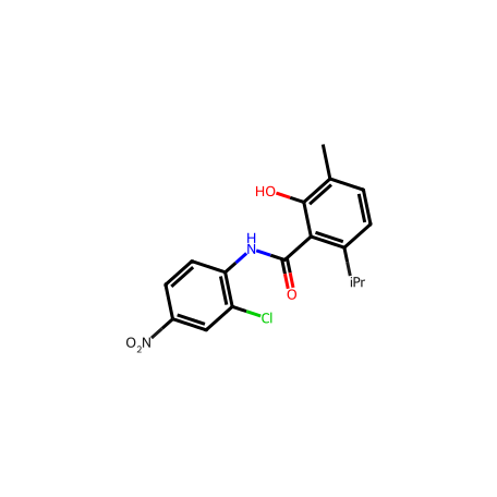 Cc1ccc(C(C)C)c(C(=O)Nc2ccc([N+](=O)[O-])cc2Cl)c1O